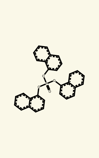 O=P(Oc1cccc2ccccc12)(Oc1cccc2ccccc12)Oc1cccc2ccccc12